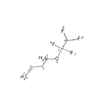 C=CC[SiH2]OC(F)(F)C(F)F